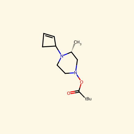 C[C@@H]1CN(OC(=O)C(C)(C)C)CCN1C1C=CC1